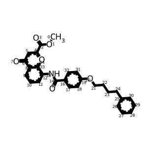 COC(=O)c1cc(=O)c2cccc(NC(=O)c3ccc(OCCCCc4ccccc4)cc3)c2o1